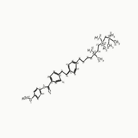 CCCCCCCCOc1ccc(OC(=O)c2ccc(CCc3ccc(CCCC[Si](C)(C)CC[Si](C)(C)C[Si](C)(C)C)cc3)cc2)cc1